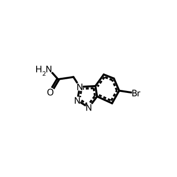 NC(=O)Cn1nnc2cc(Br)ccc21